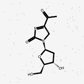 CC(=O)C1=NC(=O)N([C@H]2C[C@H](O)[C@@H](CO)O2)C1